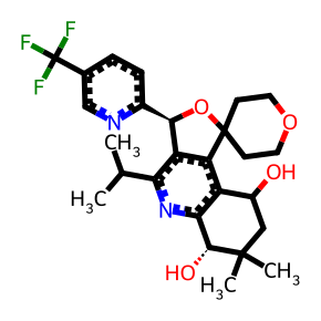 CC(C)c1nc2c(c3c1[C@@H](c1ccc(C(F)(F)F)cn1)OC31CCOCC1)C(O)CC(C)(C)[C@@H]2O